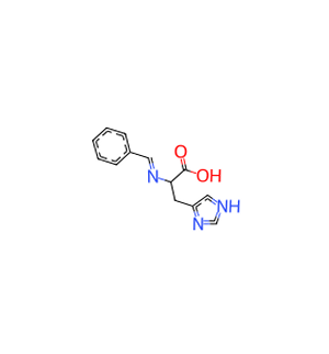 O=C(O)C(Cc1c[nH]cn1)N=Cc1ccccc1